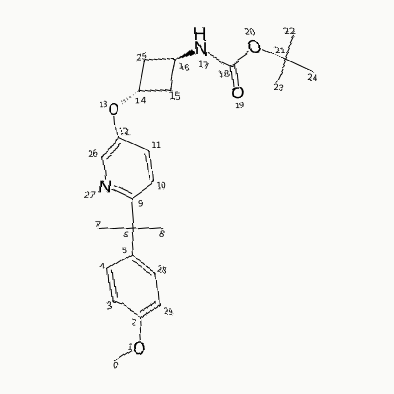 COc1ccc(C(C)(C)c2ccc(O[C@H]3C[C@H](NC(=O)OC(C)(C)C)C3)cn2)cc1